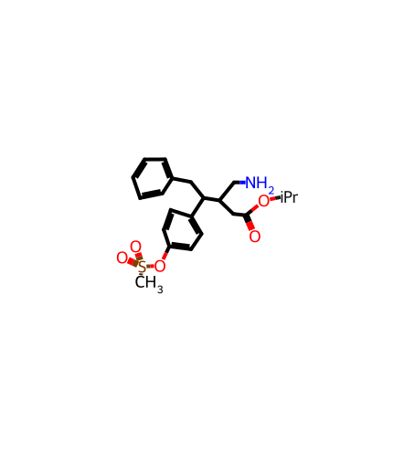 CC(C)OC(=O)CC(CN)C(Cc1ccccc1)c1ccc(OS(C)(=O)=O)cc1